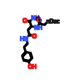 CCCCCCCCCCCC(=O)NC(CC(=O)NCCc1ccc(O)cc1)C(N)=O